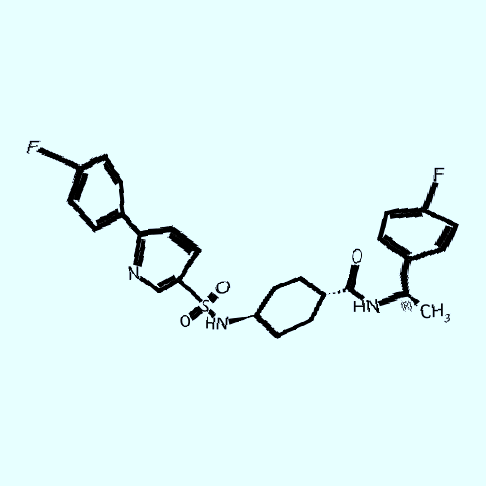 C[C@@H](NC(=O)[C@H]1CC[C@H](NS(=O)(=O)c2ccc(-c3ccc(F)cc3)nc2)CC1)c1ccc(F)cc1